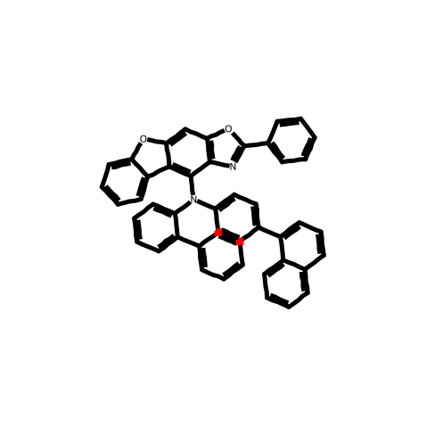 c1ccc(-c2nc3c(N(c4ccc(-c5cccc6ccccc56)cc4)c4ccccc4-c4ccccc4)c4c(cc3o2)oc2ccccc24)cc1